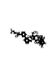 COc1c(CN2O[C@@H](CO)[C@@H]([C@H](C)O)[C@H]2C(=O)N[C@H]2C[C@H]3C[C@@H]([C@@H]2C)C3(C)C)cccc1-c1cccc(C(=O)NCCN(C)C)c1